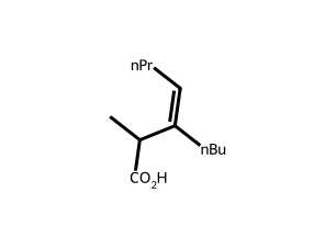 CCCC=C(CCCC)C(C)C(=O)O